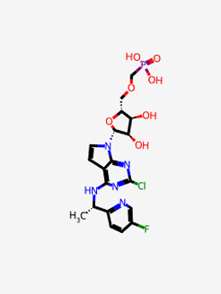 C[C@H](Nc1nc(Cl)nc2c1ccn2[C@@H]1O[C@H](COCP(=O)(O)O)[C@@H](O)[C@H]1O)c1ccc(F)cn1